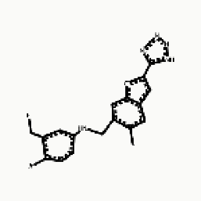 FCc1cc(NCc2cc3oc(-c4nnn[nH]4)cc3cc2F)ccc1Br